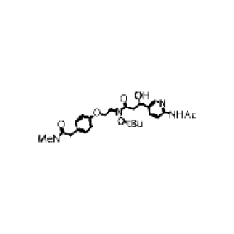 CNC(=O)Cc1ccc(OCCN(OC(C)(C)C)C(=O)C[C@@H](O)c2ccc(NC(C)=O)nc2)cc1